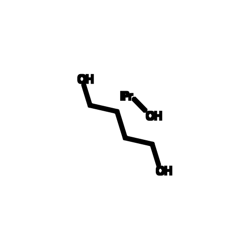 CC(C)O.OCCCCO